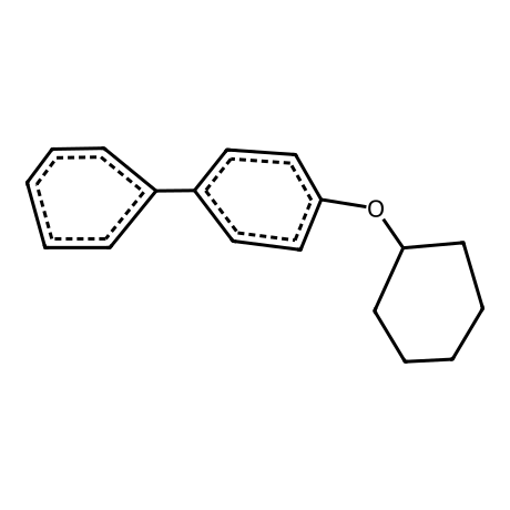 c1ccc(-c2ccc(OC3CCCCC3)cc2)cc1